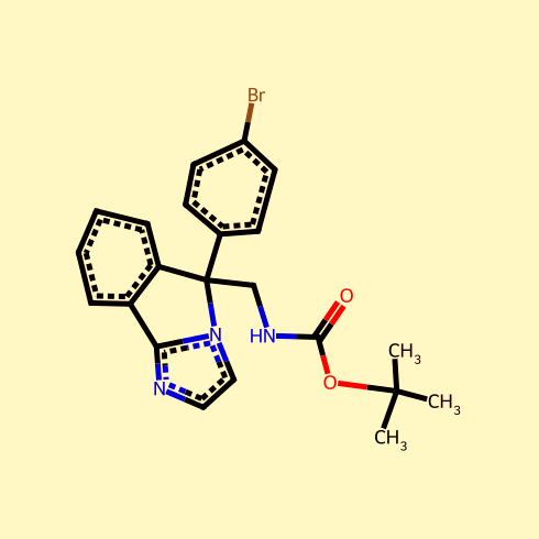 CC(C)(C)OC(=O)NCC1(c2ccc(Br)cc2)c2ccccc2-c2nccn21